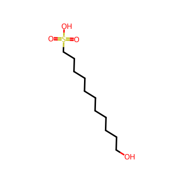 O=S(=O)(O)CCCCCCCCCCCO